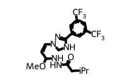 COC(/C=C\N1CNC(c2cc(C(F)(F)F)cc(C(F)(F)F)c2)=N1)NNC(=O)CC(C)C